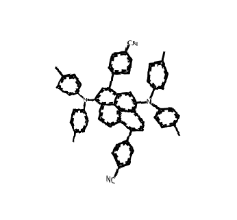 Cc1ccc(N(c2ccc(C)cc2)c2cc3c(-c4ccc(C#N)cc4)cc(N(c4ccc(C)cc4)c4ccc(C)cc4)c4ccc5c(-c6ccc(C#N)cc6)ccc2c5c34)cc1